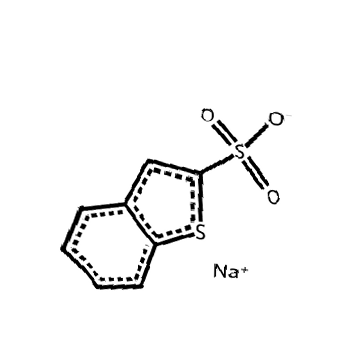 O=S(=O)([O-])c1cc2ccccc2s1.[Na+]